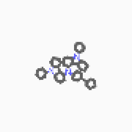 c1ccc(-c2ccc(N(c3cccc4c3c3ccccc3n4-c3ccccc3)c3cccc4c3c3ccccc3n4-c3ccccc3)cc2)cc1